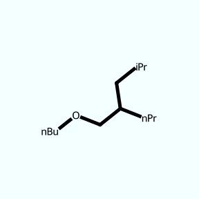 CCCCOCC(CCC)CC(C)C